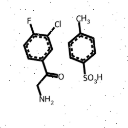 Cc1ccc(S(=O)(=O)O)cc1.NCC(=O)c1ccc(F)c(Cl)c1